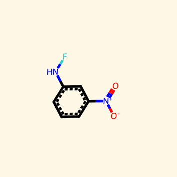 O=[N+]([O-])c1cccc(NF)c1